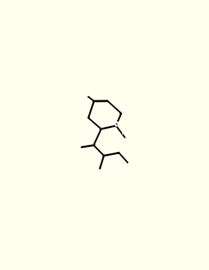 CC1CCC(C(C)C)C(C(C(=O)O)C(C)CC(=O)O)C1